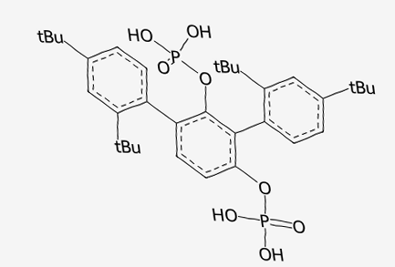 CC(C)(C)c1ccc(-c2ccc(OP(=O)(O)O)c(-c3ccc(C(C)(C)C)cc3C(C)(C)C)c2OP(=O)(O)O)c(C(C)(C)C)c1